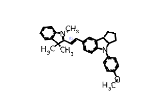 COc1ccc(N2c3ccc(/C=C/C4=[N+](C)c5ccccc5C4(C)C)cc3C3CCCC32)cc1